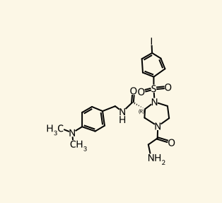 CN(C)c1ccc(CNC(=O)[C@H]2CN(C(=O)CN)CCN2S(=O)(=O)c2ccc(I)cc2)cc1